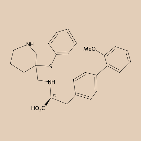 COc1ccccc1-c1ccc(C[C@H](NCC2(Sc3ccccc3)CCCNC2)C(=O)O)cc1